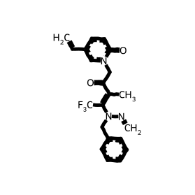 C=Cc1ccc(=O)n(CC(=O)/C(C)=C(/N(Cc2ccccc2)N=C)C(F)(F)F)c1